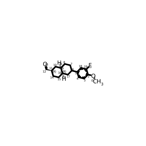 COc1ccc(C2CC[C@@H]3C[C@H](C=O)CC[C@@H]3C2)cc1F